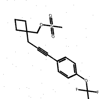 CS(=O)(=O)OCC1(CC#Cc2ccc(OC(F)(F)F)cc2)CCC1